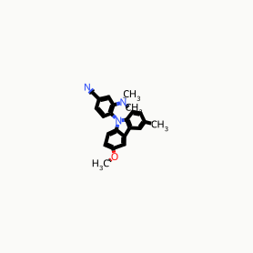 COc1ccc2c(c1)c1cc(C)ccc1n2-c1ccc(C#N)cc1N(C)C